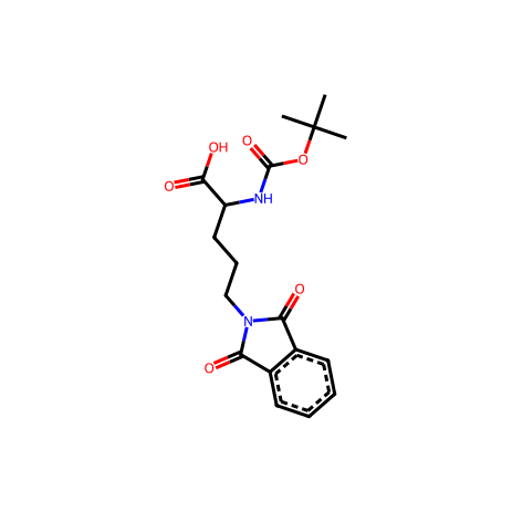 CC(C)(C)OC(=O)NC(CCCN1C(=O)c2ccccc2C1=O)C(=O)O